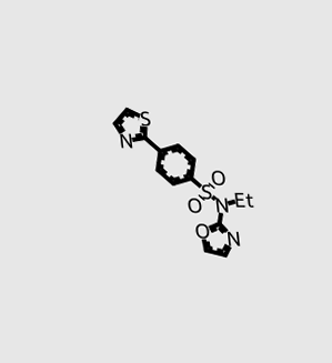 CCN(c1ncco1)S(=O)(=O)c1ccc(-c2nccs2)cc1